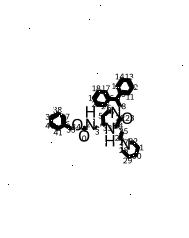 O=C(NC[C@@H]1CCN(CC(c2ccccc2)c2ccccc2)C(=O)[C@H](CCN2CCCCC2)N1)OCc1ccccc1